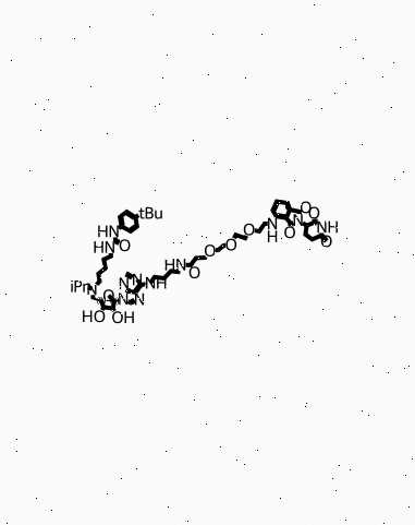 CC(C)N(CCCCCNC(=O)Nc1ccc(C(C)(C)C)cc1)C[C@H]1O[C@@H](n2cnc3c(NCCCCNC(=O)CCOCCOCCOCCNc4cccc5c4C(=O)N(C4CCC(=O)NC4=O)C5=O)ncnc32)C(O)C1O